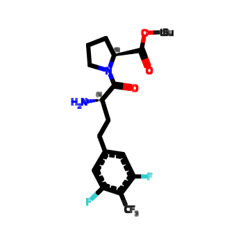 CC(C)(C)OC(=O)[C@@H]1CCCN1C(=O)[C@@H](N)CCc1cc(F)c(C(F)(F)F)c(F)c1